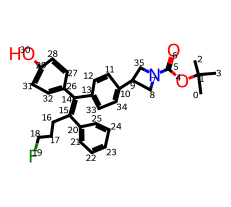 CC(C)(C)OC(=O)N1CC(c2ccc(/C(=C(/CCCF)c3ccccc3)c3ccc(O)cc3)cc2)C1